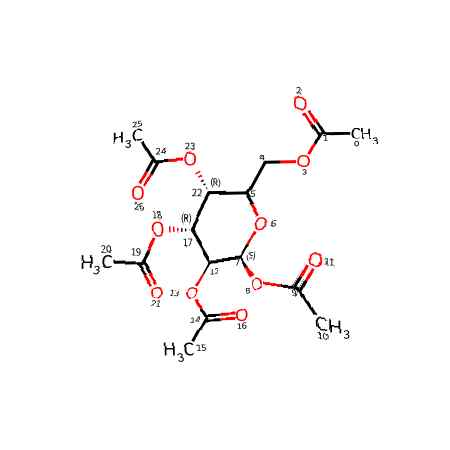 CC(=O)OCC1O[C@@H](OC(C)=O)C(OC(C)=O)[C@H](OC(C)=O)[C@@H]1OC(C)=O